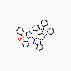 O=P(c1ccccc1)(c1ccccc1)c1cccc(-c2nc3ccccc3c3cc4c(cc23)C(c2ccccc2)(c2ccccc2)c2ccccc2-4)c1